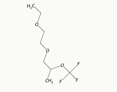 CCOCCOCC(C)OC(F)(F)F